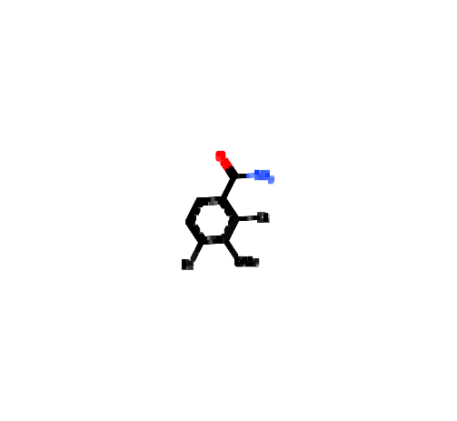 CCc1ccc(C(N)=O)c(CC)c1OC